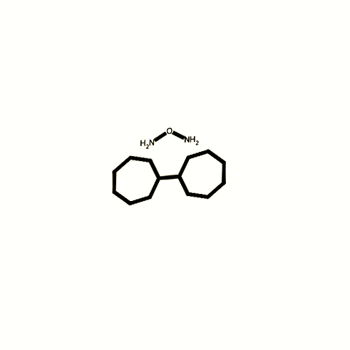 C1CCCC(C2CCCCCC2)CC1.NON